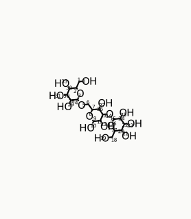 OCC1OC(OCC2OC(O)C(O)C(OC3OC(CO)C(O)C(O)C3O)C2O)C(O)C(O)C1O